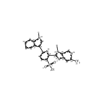 CCS(=O)(=O)c1ccc(-c2cn(C)c3ccccc23)nc1-c1nc2cc(C(F)(F)F)ncc2n1C